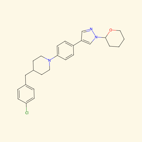 Clc1ccc(CC2CCN(c3ccc(-c4cnn(C5CCCCO5)c4)cc3)CC2)cc1